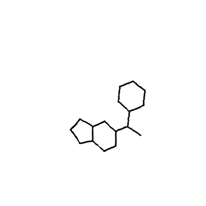 CC(C1CCCCC1)C1CCC2CCCC2C1